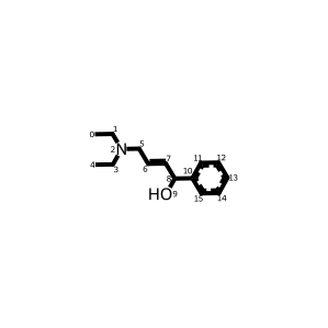 CCN(CC)C/C=C/C(O)c1ccccc1